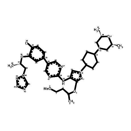 COCCC(C)Oc1nn(C2CCC(N3C[C@@H](C)O[C@@H](C)C3)CC2)cc1Nc1ncc(-c2ccc(Cl)c(O[C@@H](C)Cn3cnnn3)c2)cn1